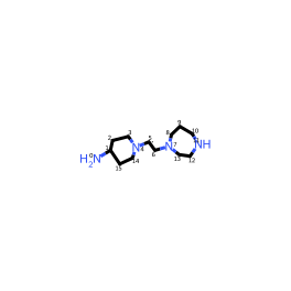 NC1CCN([CH]CN2CCCNCC2)CC1